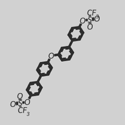 O=S(=O)(Oc1ccc(-c2ccc(Oc3cccc(-c4ccc(OS(=O)(=O)C(F)(F)F)cc4)c3)cc2)cc1)C(F)(F)F